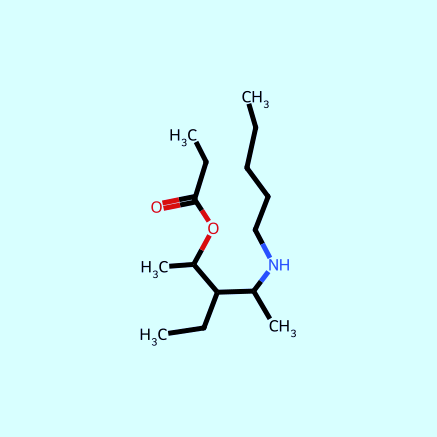 CCCCCNC(C)C(CC)C(C)OC(=O)CC